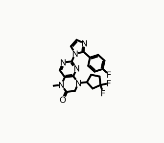 CN1C(=O)CN(C2CCC(F)(F)C2)c2nc(-n3ccnc3-c3ccc(F)cc3)ncc21